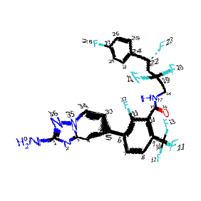 Nc1nc2cc(-c3ccc(C(F)(F)F)c(C(=O)NCC(F)(F)[C@@H](F)c4ccc(F)cc4)c3F)ccn2n1